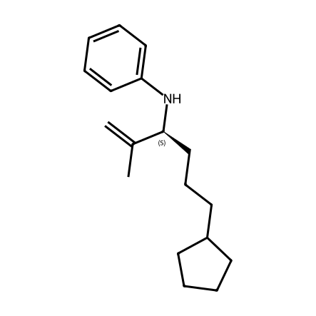 C=C(C)[C@H](CCCC1CCCC1)Nc1ccccc1